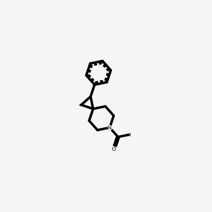 O=C(I)N1CCC2(CC1)CC2c1ccccc1